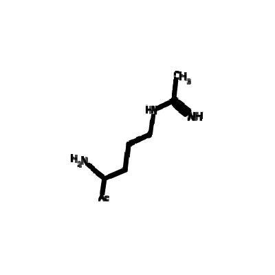 CC(=N)NCCCC(N)C(C)=O